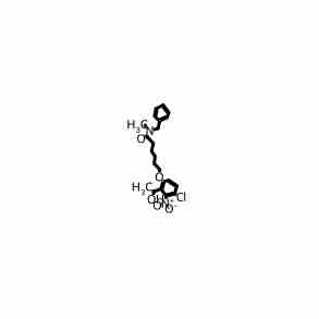 CC(O)c1c(OCCCCCC(=O)N(C)Cc2ccccc2)ccc(Cl)c1[N+](=O)[O-]